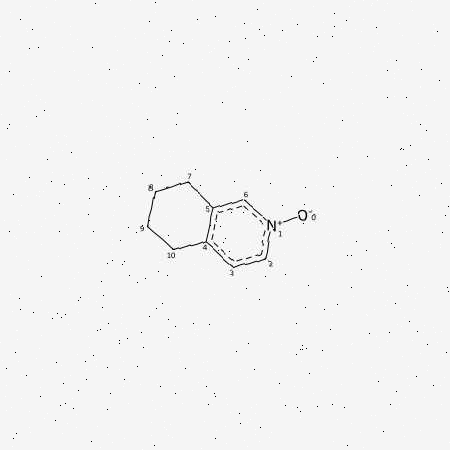 [O-][n+]1ccc2c(c1)CCCC2